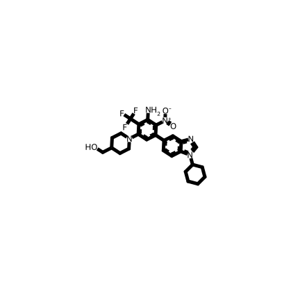 Nc1c([N+](=O)[O-])c(-c2ccc3c(c2)ncn3C2CCCCC2)cc(N2CCC(CO)CC2)c1C(F)(F)F